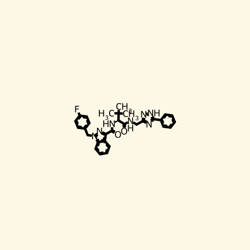 CC(C)(C)[C@H](NC(=O)c1nn(Cc2ccc(F)cc2)c2ccccc12)C(=O)NCc1n[nH]c(-c2ccccc2)n1